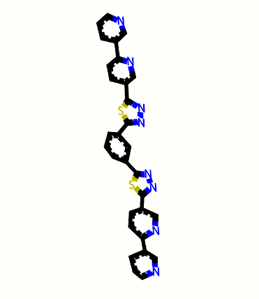 c1cncc(-c2ccc(-c3nnc(-c4cccc(-c5nnc(-c6ccc(-c7cccnc7)nc6)s5)c4)s3)cn2)c1